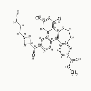 COC(=O)c1ccc2c(c1)CCCC(C1=C(Cl)C=C(Cl)CC1)=C2c1ccc(C(=O)C2CN(CCCF)C2)cc1